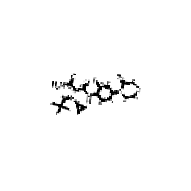 CC(C)(C)CN(C1CC1)[C@H](C(N)=O)C(=O)Nc1ccc(N2CCOCC2=O)cc1F